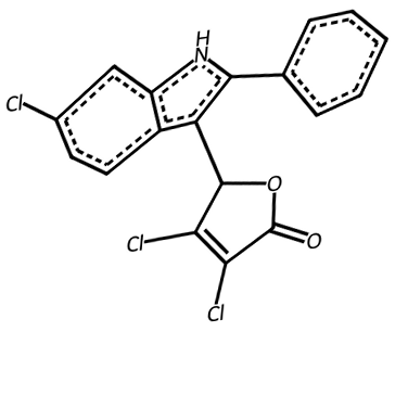 O=C1OC(c2c(-c3ccccc3)[nH]c3cc(Cl)ccc23)C(Cl)=C1Cl